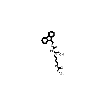 CC(C)(C)OC(=O)NCCCC[C@H](CO)NC(=O)OCC1c2ccccc2-c2ccccc21